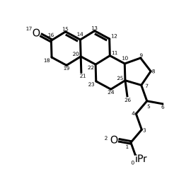 CC(C)C(=O)CCC(C)C1CCC2C3C=CC4=CC(=O)CCC4(C)C3CCC12C